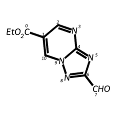 CCOC(=O)c1cnc2nc(C=O)nn2c1